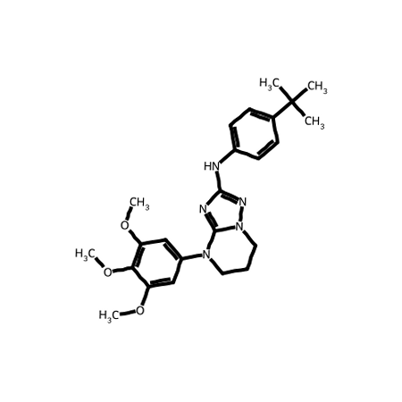 COc1cc(N2CCCn3nc(Nc4ccc(C(C)(C)C)cc4)nc32)cc(OC)c1OC